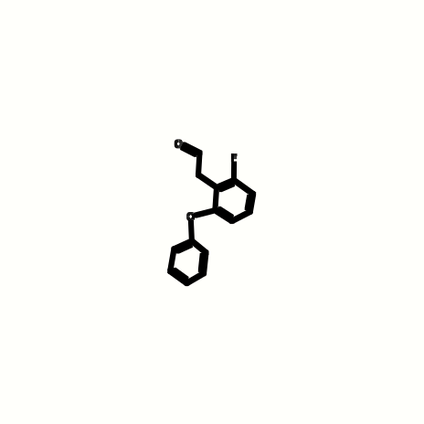 O=CCc1c(F)cccc1Oc1ccccc1